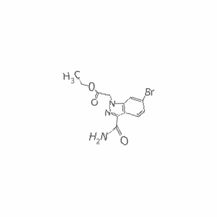 CCOC(=O)Cn1nc(C(N)=O)c2ccc(Br)cc21